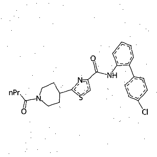 CCCC(=O)N1CCC(c2nc(C(=O)Nc3ccccc3-c3ccc(Cl)cc3)cs2)CC1